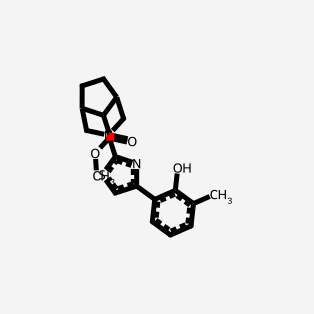 COC(=O)C1C2CCC1CN(c1nc(-c3cccc(C)c3O)cs1)C2